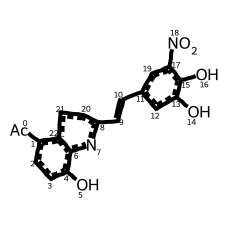 CC(=O)c1ccc(O)c2nc(/C=C/c3cc(O)c(O)c([N+](=O)[O-])c3)ccc12